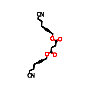 N#CCCCC#CCOC(=O)CCC(=O)OCC#CCCCC#N